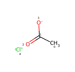 CC(=O)[O-].[Cl+]